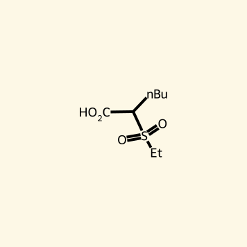 CCCCC(C(=O)O)S(=O)(=O)CC